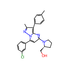 Cc1ccc(-c2c(C)nn3c(-c4cccc(Cl)c4)cc(N4CCC[C@H]4CO)nc23)cc1